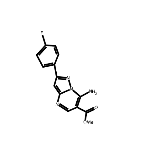 COC(=O)c1cnc2cc(-c3ccc(F)cc3)nn2c1N